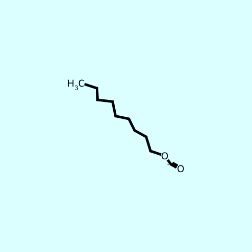 CCCCCCCCCO[C]=O